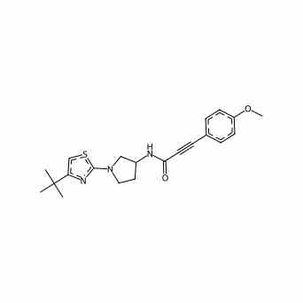 COc1ccc(C#CC(=O)NC2CCN(c3nc(C(C)(C)C)cs3)C2)cc1